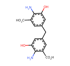 Nc1c(O)cc(Cc2cc(O)c(N)c(C(=O)O)c2)cc1C(=O)O